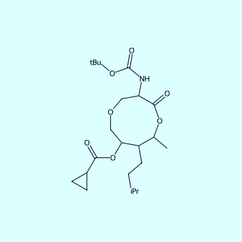 CC(C)CCC1C(C)OC(=O)C(NC(=O)OC(C)(C)C)COCC1OC(=O)C1CC1